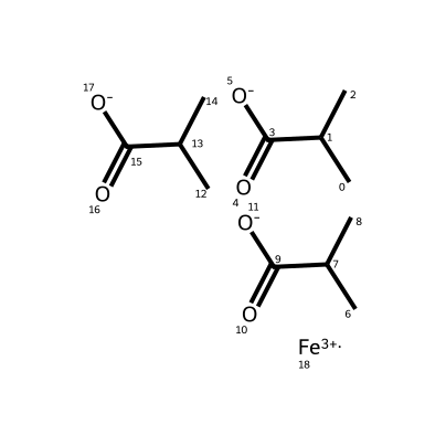 CC(C)C(=O)[O-].CC(C)C(=O)[O-].CC(C)C(=O)[O-].[Fe+3]